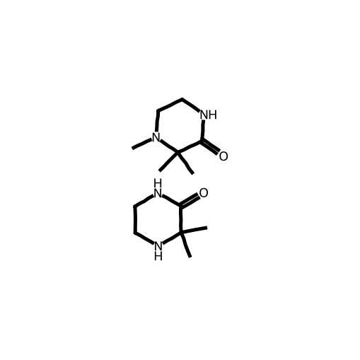 CC1(C)NCCNC1=O.CN1CCNC(=O)C1(C)C